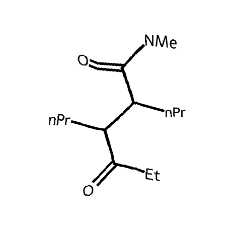 CCCC(C(=O)CC)C(CCC)C(=O)NC